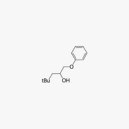 CC(C)(C)CC(O)COc1ccccc1